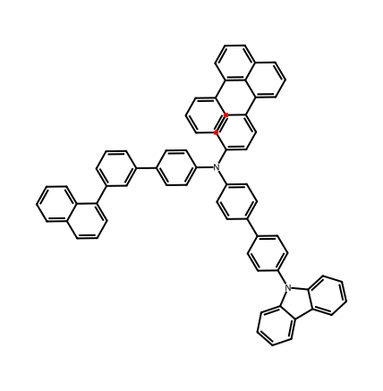 c1ccc(-c2cccc3cccc(-c4ccc(N(c5ccc(-c6ccc(-n7c8ccccc8c8ccccc87)cc6)cc5)c5ccc(-c6cccc(-c7cccc8ccccc78)c6)cc5)cc4)c23)cc1